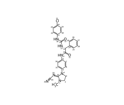 CN1CCN(c2ccc(NC(=O)[C@H](NC(=O)Nc3ccc(Cl)cc3)c3ccccc3)cc2)C1=NC#N